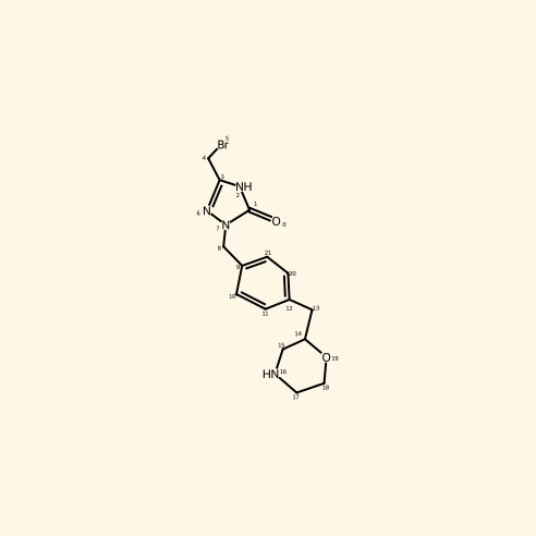 O=c1[nH]c(CBr)nn1Cc1ccc(CC2CNCCO2)cc1